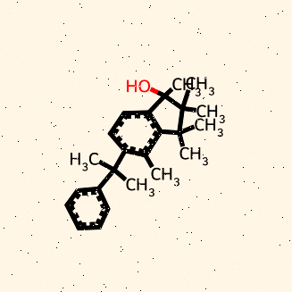 Cc1c(C(C)(C)c2ccccc2)ccc2c1C(C)(C)C(C)(C)C2(C)O